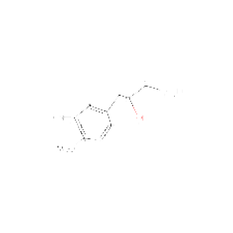 CCOC(=O)CC(O)Cc1ccc(OC)c([N+](=O)[O-])c1